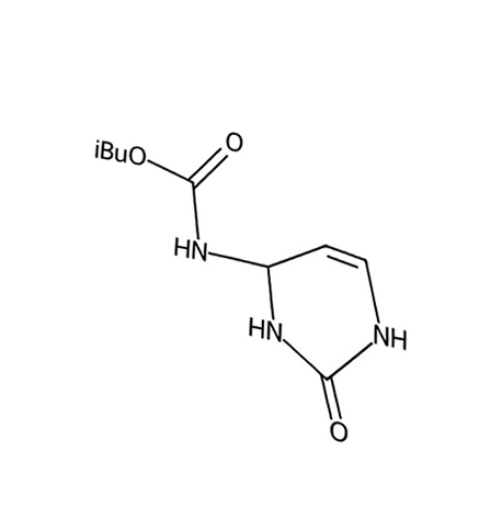 CC(C)COC(=O)NC1C=CNC(=O)N1